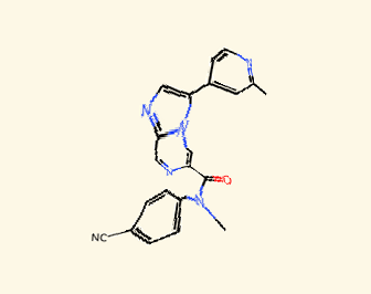 Cc1cc(-c2cnc3cnc(C(=O)N(C)c4ccc(C#N)cc4)cn23)ccn1